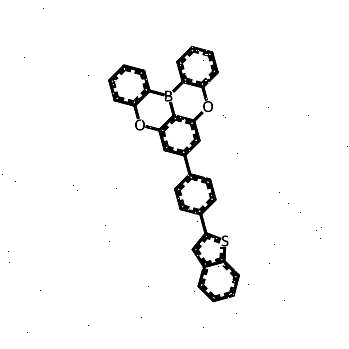 c1ccc2c(c1)Oc1cc(-c3ccc(-c4cc5ccccc5s4)cc3)cc3c1B2c1ccccc1O3